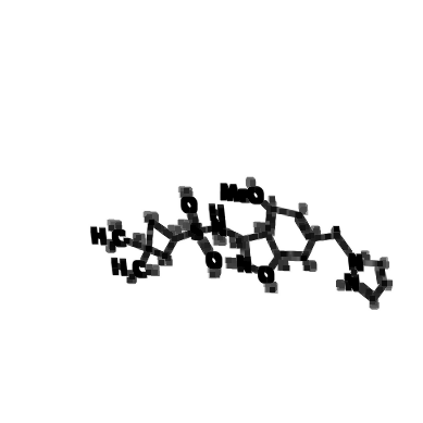 COc1cc(Cn2cccn2)cc2onc(NS(=O)(=O)C3CC(C)(C)C3)c12